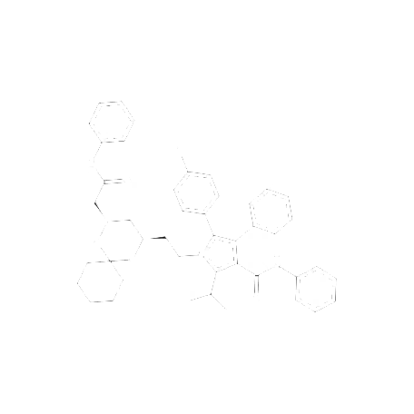 CC(C)c1c(C(=O)Nc2ccccc2)c(-c2ccccc2)c(-c2ccc(F)cc2)n1CC[C@@H]1C[C@H](CC(=O)Oc2ccccc2)OC2(CCCCC2)O1